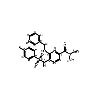 CCCN(CCC)C(=O)c1cnc(NS(=O)(=O)c2ccc(C)cc2)c(OCc2cccnc2)n1